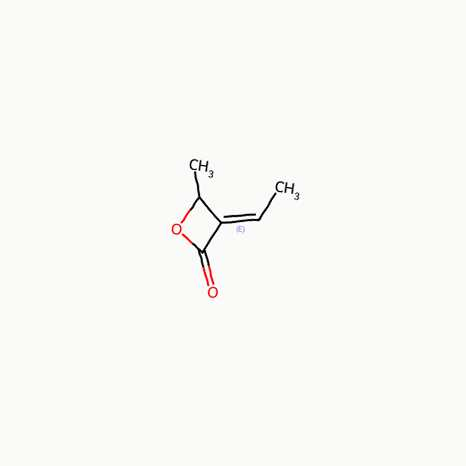 C/C=C1/C(=O)OC1C